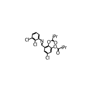 CC(C)C(=O)Oc1cc(Cl)cc(C=Nc2cccc(Cl)c2Cl)c1OC(=O)C(C)C